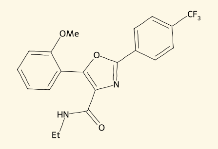 CCNC(=O)c1nc(-c2ccc(C(F)(F)F)cc2)oc1-c1ccccc1OC